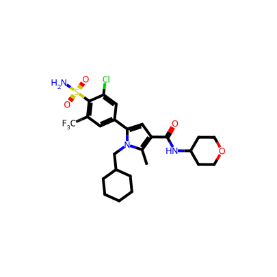 Cc1c(C(=O)NC2CCOCC2)cc(-c2cc(Cl)c(S(N)(=O)=O)c(C(F)(F)F)c2)n1CC1CCCCC1